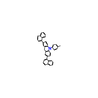 Cc1ccc(N2c3ccc(-c4cccc5ccccc45)cc3Cc3cc(-c4cccc5ccccc45)ccc32)cc1